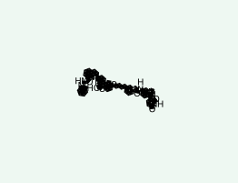 Cc1c(OCCCCC2CCCN(CC(=O)Nc3ccc4c(C5CCC(=O)NC5=O)nn(C)c4c3)C2)cccc1-c1ccc(N2CCc3cccc(C(=O)Nc4nc5ccccc5s4)c3C2)nc1C(=O)O